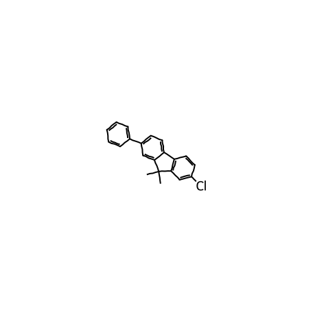 CC1(C)c2cc(Cl)ccc2-c2ccc(-c3ccccc3)cc21